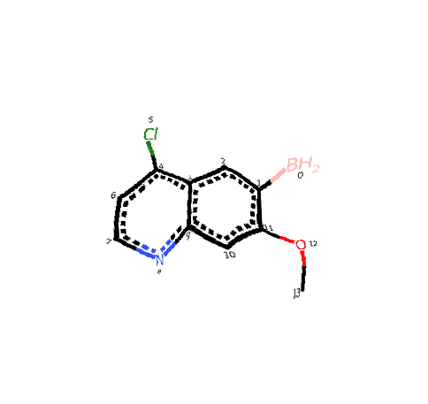 Bc1cc2c(Cl)ccnc2cc1OC